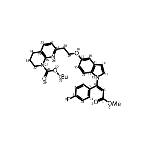 COC(=O)C=C(c1ccc(F)cc1)n1ccc2cc(OCCc3ccc4c(n3)N(C(=O)OC(C)(C)C)CCC4)ccc21